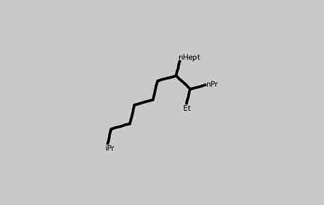 CCCCCCCC(CCCCCC(C)C)C(CC)CCC